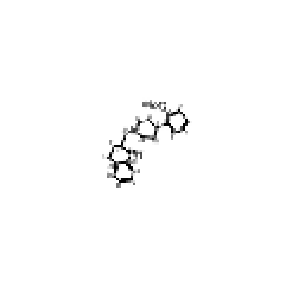 COc1ccccc1C1CCN(CC2CCc3ccccc3N2)CC1